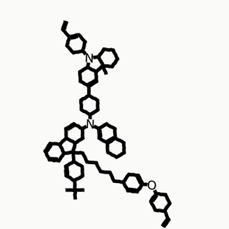 C=CC1=CCC(N2C3CCC(C4CCC(N(C5=CC6=C(CCCC6)CC5)C5C=CC6C7C=CC=CC7C(CCCCCCC7C=CC(OC8=CCC(C=C)CC8)=CC7)(C7C=CC(C(C)(C)C)CC7)C6C5)CC4)=CC3C3(C)CCCCC23)CC1